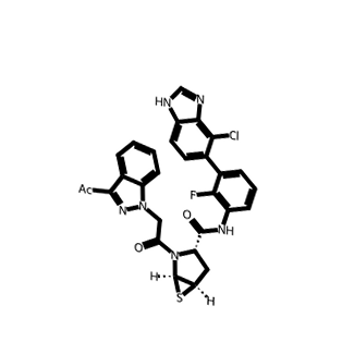 CC(=O)c1nn(CC(=O)N2[C@@H]3S[C@@H]3C[C@H]2C(=O)Nc2cccc(-c3ccc4[nH]cnc4c3Cl)c2F)c2ccccc12